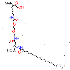 CN[C@@H](CCCCNC(=O)COCCOCCNC(=O)CC[C@H](NC(=O)CCCCCCCCCCCCCCCCC(=O)O)C(=O)O)C(=O)CO